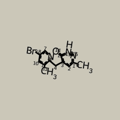 Cc1cc(Cc2ncc(Br)cc2C)c(=O)[nH]n1